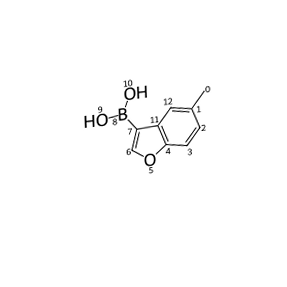 Cc1ccc2occ(B(O)O)c2c1